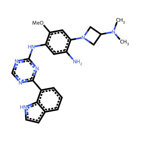 COc1cc(N2CC(N(C)C)C2)c(N)cc1Nc1ncnc(-c2cccc3cc[nH]c23)n1